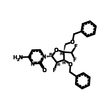 Nc1ccn([C@@H]2O[C@@](COCc3ccccc3)(C(F)F)[C@@H](OCc3ccccc3)[C@H]2F)c(=O)n1